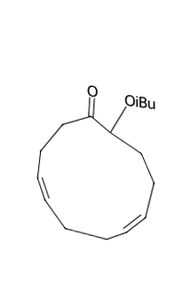 CC(C)COC1CCC=CCCC=CCCC1=O